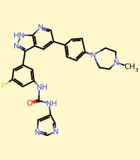 CN1CCN(c2ccc(-c3cnc4[nH]nc(-c5cc(F)cc(NC(=O)Nc6cncnc6)c5)c4c3)cc2)CC1